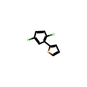 Fc1c[c]c(Cl)c(-c2cccs2)c1